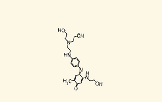 CC1=C/C(=N\c2ccc(NCCN(CCO)CCO)cc2)C(NCCO)=CC1=O